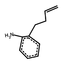 C=CCCc1ccccc1N